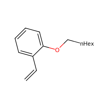 C=Cc1ccccc1OCCCCCCC